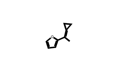 CC(=C1CC1)c1ccco1